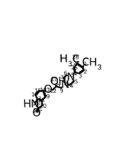 Cc1ccc(N2CCN(CC(O)COc3ccc4c(c3)CC(=O)N4)CC2)cc1C